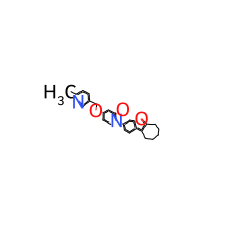 Cc1ccc(COc2ccn(-c3ccc4c5c(oc4c3)CCCCC5)c(=O)c2)cn1